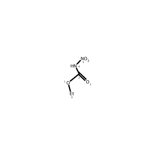 CCOC(=O)N[N+](=O)[O-]